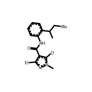 CCc1nn(C)c(Cl)c1C(=O)Nc1ccccc1C(C)CC(C)(C)C